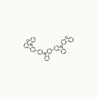 c1ccc2c(c1)Oc1cccc3c4ccc(-c5ccc(-n6c7ccccc7c7cc(-c8ccc9c(c8)c8ccccc8n9-c8ccc9oc%10ccccc%10c9c8)ccc76)cc5)cc4n-2c13